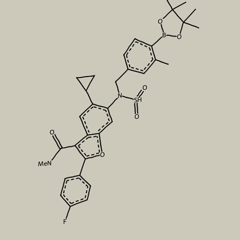 CNC(=O)c1c(-c2ccc(F)cc2)oc2cc(N(Cc3ccc(B4OC(C)(C)C(C)(C)O4)c(C)c3)[SH](=O)=O)c(C3CC3)cc12